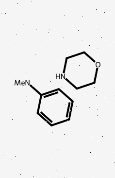 C1COCCN1.CNc1ccccc1